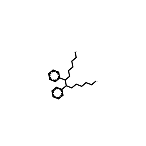 [CH2]CCCCCC(c1ccccc1)C(CCCCC[CH2])c1ccccc1